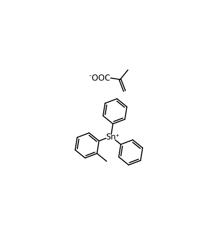 C=C(C)C(=O)[O-].Cc1cccc[c]1[Sn+]([c]1ccccc1)[c]1ccccc1